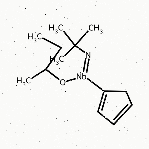 CCC(C)[O][Nb](=[N]C(C)(C)C)[C]1=CC=CC1